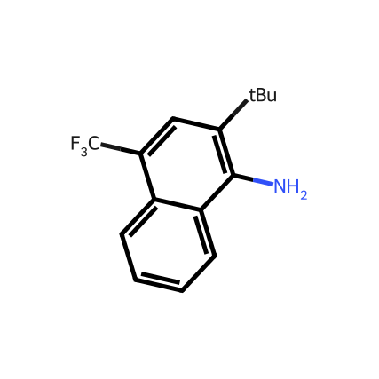 CC(C)(C)c1cc(C(F)(F)F)c2ccccc2c1N